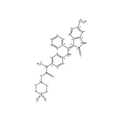 CN(C(=O)CN1CCS(=O)(=O)CC1)c1ccc(N/C(=C2\C(=O)Nc3nc(C(=O)O)ccc32)c2ccccc2)cc1